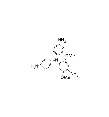 COc1cc(N(c2ccc(N)cc2)c2ccc(N)cc2)c(OC)cc1N